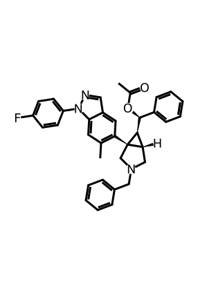 CC(=O)O[C@@H](c1ccccc1)[C@H]1[C@@H]2CN(Cc3ccccc3)C[C@]12c1cc2cnn(-c3ccc(F)cc3)c2cc1C